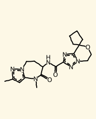 Cc1cc2n(n1)CCC(NC(=O)c1nc3n(n1)CCOC31CCCC1)C(=O)N2C